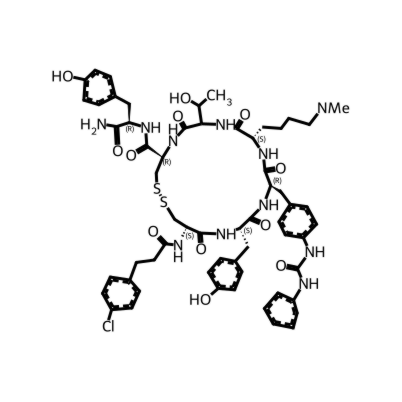 CNCCCC[C@@H]1NC(=O)[C@@H](Cc2ccc(NC(=O)Nc3ccccc3)cc2)NC(=O)[C@H](Cc2ccc(O)cc2)NC(=O)[C@H](NC(=O)CCc2ccc(Cl)cc2)CSSC[C@@H](C(=O)N[C@H](Cc2ccc(O)cc2)C(N)=O)NC(=O)C(C(C)O)NC1=O